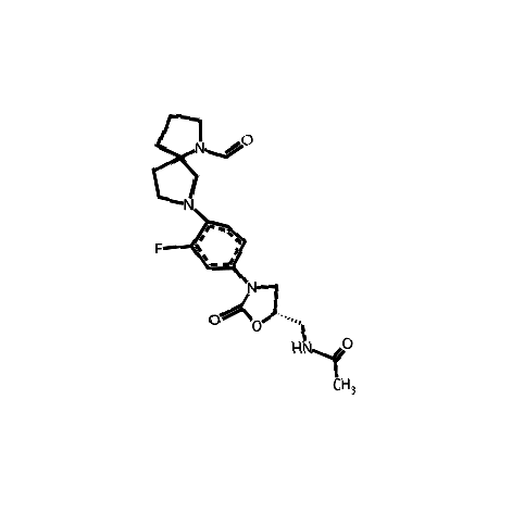 CC(=O)NC[C@H]1CN(c2ccc(N3CCC4(CCCN4C=O)C3)c(F)c2)C(=O)O1